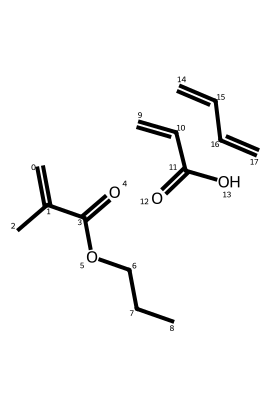 C=C(C)C(=O)OCCC.C=CC(=O)O.C=CC=C